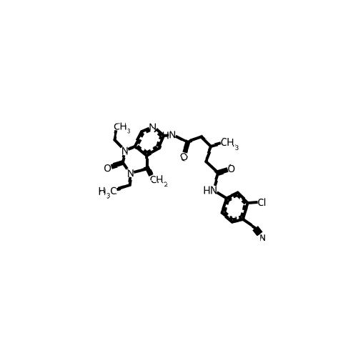 C=C1c2cc(NC(=O)CC(C)CC(=O)Nc3ccc(C#N)c(Cl)c3)ncc2N(CC)C(=O)N1CC